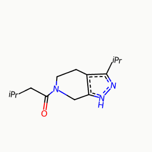 CC(C)CC(=O)N1CCc2c(C(C)C)n[nH]c2C1